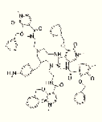 Cn1ccc(C(=O)NCCN(CCNC(=O)c2ccn(C)c(=O)c2OCc2ccccc2)CC(Cc2ccc(N)cc2)CN(CCNC(=O)c2ccn(C)c(=O)c2OCc2ccccc2)CCNC(=O)c2ccn(C)c(=O)c2OCc2ccccc2)c(OCc2ccccc2)c1=O